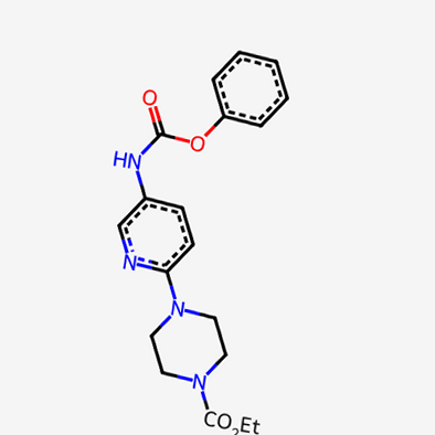 CCOC(=O)N1CCN(c2ccc(NC(=O)Oc3ccccc3)cn2)CC1